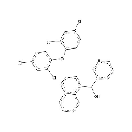 Clc1ccc(Oc2ccc(Cl)cc2Cl)c(Cl)c1.OC(c1cccnc1)c1cccc2ccccc12